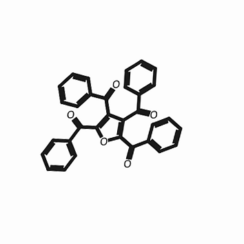 O=C(c1ccccc1)c1oc(C(=O)c2ccccc2)c(C(=O)c2ccccc2)c1C(=O)c1ccccc1